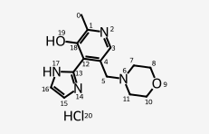 Cc1ncc(CN2CCOCC2)c(-c2ncc[nH]2)c1O.Cl